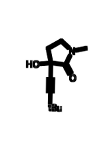 CN1CCC(O)(C#CC(C)(C)C)C1=O